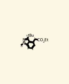 CCOC(=O)Cc1cccc2c1c(C(C)(C)C)nn2C